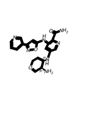 NC(=O)c1ncc(N[C@@H]2CCOC[C@@H]2N)cc1Nc1cc(-c2cccnc2)no1